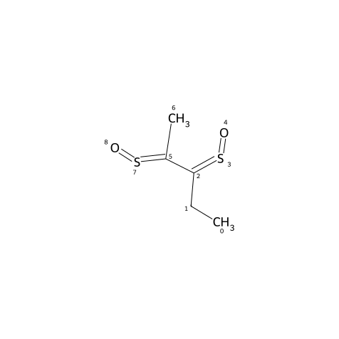 CCC(=S=O)C(C)=S=O